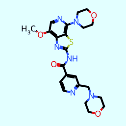 COc1cnc(N2CCOCC2)c2sc(NC(=O)c3ccnc(CN4CCOCC4)c3)nc12